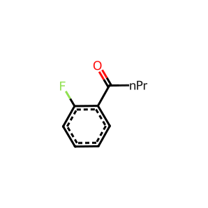 CCCC(=O)c1ccccc1F